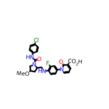 COC1CC(CNc2ccc(-n3cccc(C(=O)O)c3=O)cc2F)N(C(=O)Nc2ccc(Cl)cc2)C1